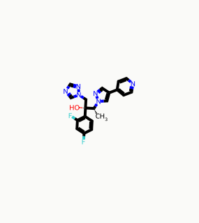 C[C@@H](n1cc(-c2ccncc2)cn1)[C@](O)(Cn1cncn1)c1ccc(F)cc1F